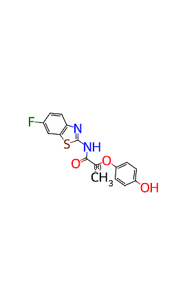 C[C@@H](Oc1ccc(O)cc1)C(=O)Nc1nc2ccc(F)cc2s1